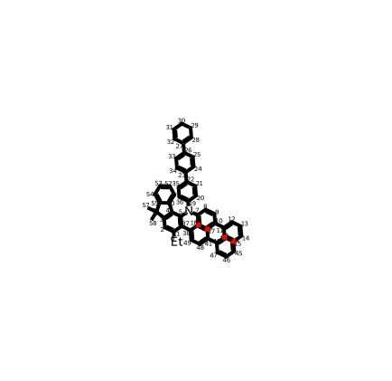 CCc1cc2c(c(N(c3ccc(-c4ccccc4)cc3)c3ccc(-c4ccc(C5=CCCC=C5)cc4)cc3)c1-c1ccc(-c3ccccc3)cc1)-c1ccccc1C2(C)C